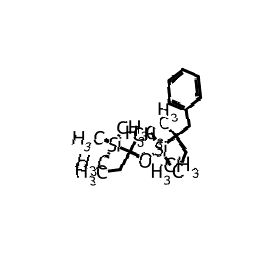 CCC(C)(O[Si](C)(C)C(C)(CC)Cc1ccccc1)[Si](C)(C)C